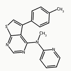 Cc1ccc(-c2csc3ncnc(N(C)c4ccccn4)c23)cc1